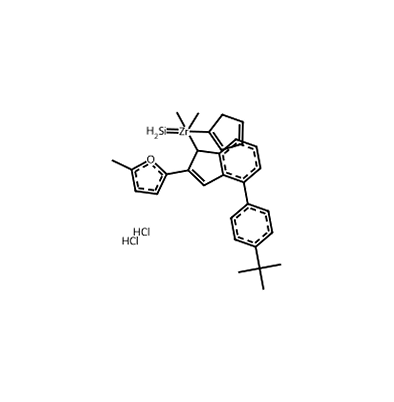 Cc1ccc(C2=Cc3c(-c4ccc(C(C)(C)C)cc4)cccc3[CH]2[Zr]([CH3])([CH3])(=[SiH2])[C]2=CC=CC2)o1.Cl.Cl